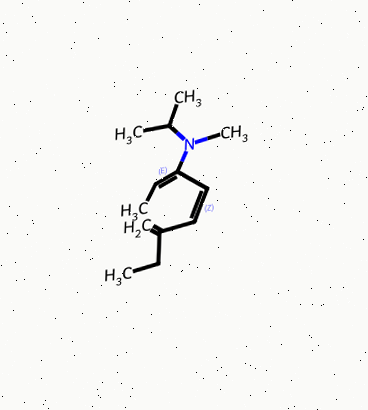 C=C(/C=C\C(=C/C)N(C)C(C)C)CC